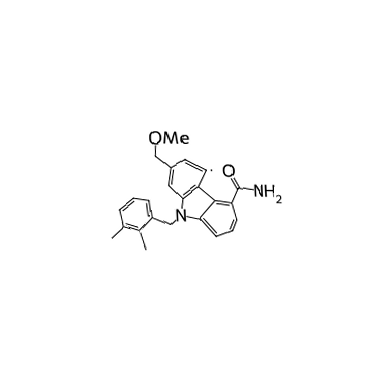 COCc1c[c]c2c3c(C(N)=O)cccc3n(Cc3cccc(C)c3C)c2c1